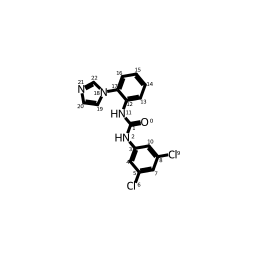 O=C(Nc1cc(Cl)cc(Cl)c1)Nc1ccccc1-n1ccnc1